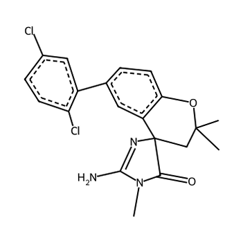 CN1C(=O)C2(CC(C)(C)Oc3ccc(-c4cc(Cl)ccc4Cl)cc32)N=C1N